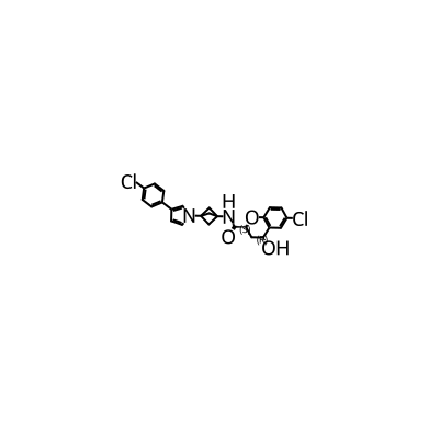 O=C(NC12CC(n3ccc(-c4ccc(Cl)cc4)c3)(C1)C2)[C@@H]1C[C@@H](O)c2cc(Cl)ccc2O1